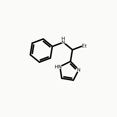 CCC(Nc1ccccc1)c1ncc[nH]1